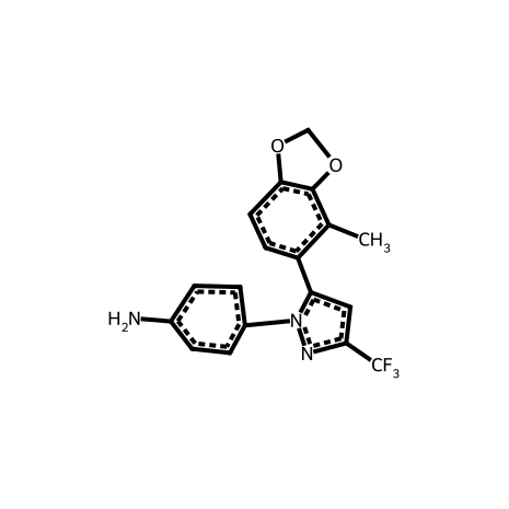 Cc1c(-c2cc(C(F)(F)F)nn2-c2ccc(N)cc2)ccc2c1OCO2